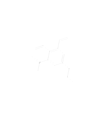 C=Cc1cc(CCC)cc(C(C)=O)c1C=C